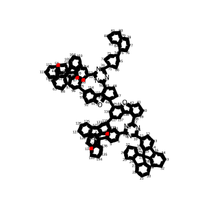 c1ccc(-c2ccc(-c3nc(-c4ccc5c(c4)C4(c6ccccc6-c6ccccc64)c4ccccc4-5)nc(-c4cccc5oc6c(-c7ccc(-c8nc(-c9ccc(-c%10cccc%11ccccc%10%11)cc9)nc(-c9ccc(-c%10cccc%11ccccc%10%11)cc9)n8)c8c7oc7ccc(-c9ccc%10c(c9)c9ccccc9n%10-c9ccccc9)cc78)cc(-c7ccc8c(c7)c7ccccc7n8-c7ccccc7)cc6c45)n3)cc2)cc1